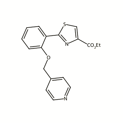 CCOC(=O)c1csc(-c2ccccc2OCc2ccncc2)n1